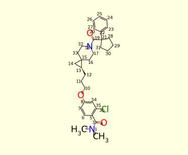 CN(C)C(=O)c1ccc(OCCC[C@H]2CC23CCN(C(=O)C2(c4ccccc4)CCCC2)CC3)cc1Cl